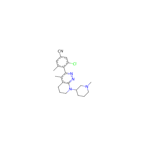 Cc1cc(C#N)cc(Cl)c1-c1nnc2c(c1C)CCCN2C1CCCN(C)C1